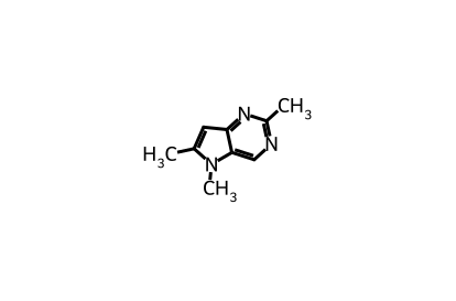 Cc1ncc2c(cc(C)n2C)n1